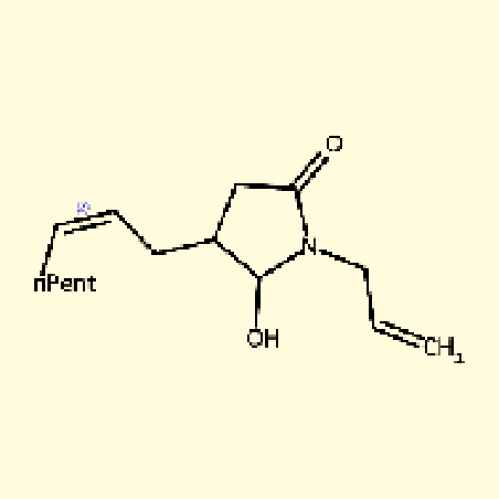 C=CCN1C(=O)CC(C/C=C\CCCCC)C1O